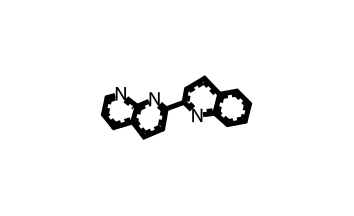 c1ccc2nc(-c3ccc4cccnc4n3)ccc2c1